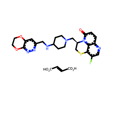 O=C(O)C=CC(=O)O.O=c1ccc2ncc(F)c3c2n1[C@H](CN1CCC(NCc2cc4c(nn2)OCCO4)CC1)CS3